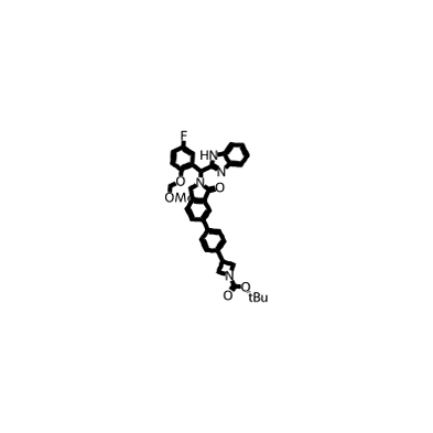 COCOc1ccc(F)cc1C(c1nc2ccccc2[nH]1)N1Cc2ccc(-c3ccc(C4CN(C(=O)OC(C)(C)C)C4)cc3)cc2C1=O